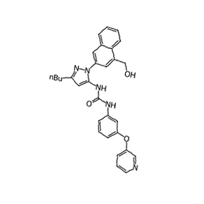 CCCCc1cc(NC(=O)Nc2cccc(Oc3cccnc3)c2)n(-c2cc(CO)c3ccccc3c2)n1